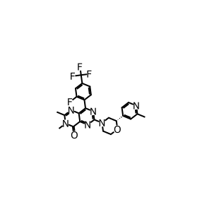 Cc1cc([C@H]2CN(c3nc(-c4ccc(C(F)(F)F)cc4F)c4nc(C)n(C)c(=O)c4n3)CCO2)ccn1